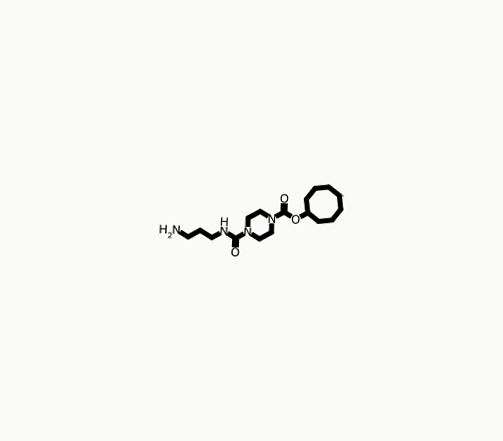 NCCCNC(=O)N1CCN(C(=O)OC2CCC[CH]CCC2)CC1